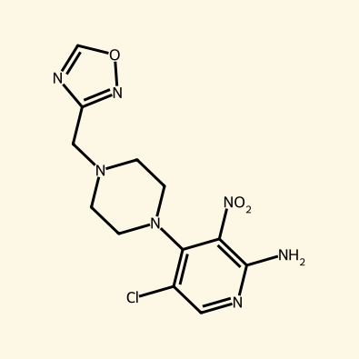 Nc1ncc(Cl)c(N2CCN(Cc3ncon3)CC2)c1[N+](=O)[O-]